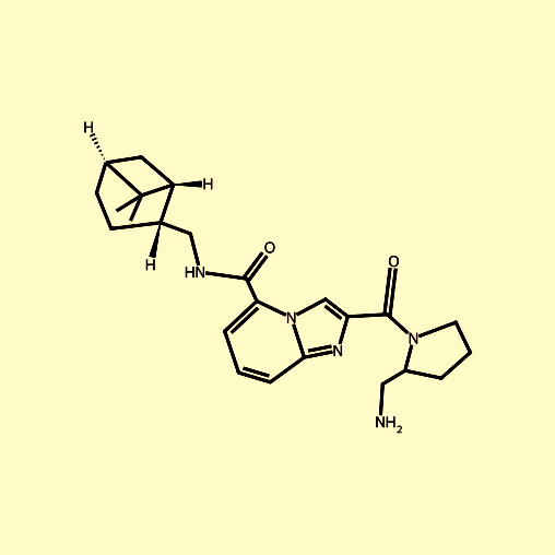 CC1(C)[C@H]2CC[C@@H](CNC(=O)c3cccc4nc(C(=O)N5CCCC5CN)cn34)[C@H]1C2